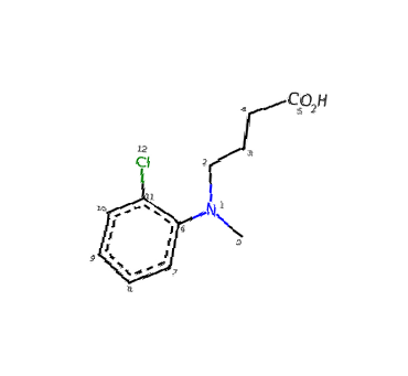 CN(CCCC(=O)O)c1ccccc1Cl